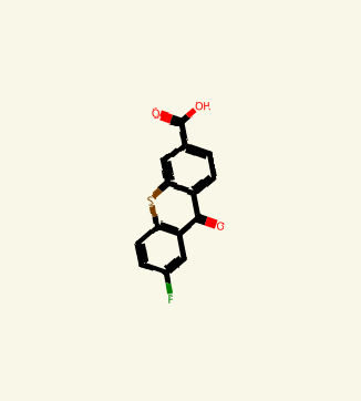 O=C(O)c1ccc2c(=O)c3cc(F)ccc3sc2c1